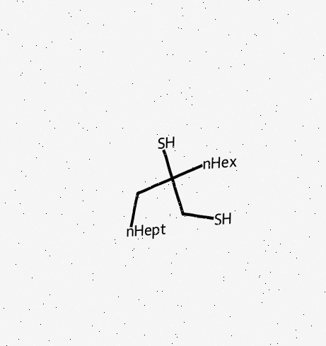 CCCCCCCCC(S)(CS)CCCCCC